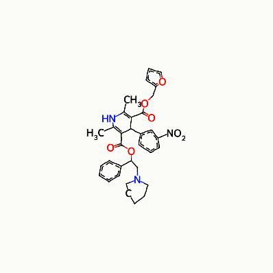 CC1=C(C(=O)OCc2ccco2)C(c2cccc([N+](=O)[O-])c2)C(C(=O)OC(CN2CCCCC2)c2ccccc2)=C(C)N1